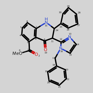 COC(=O)c1cccc2c1C(=O)C(c1nccn1Cc1ccccc1)C(c1ccccc1)N2